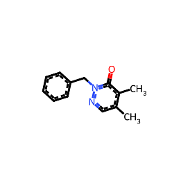 Cc1cnn(Cc2ccccc2)c(=O)c1C